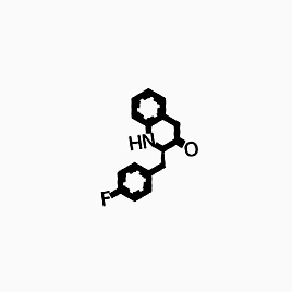 O=C1Cc2ccccc2N[C@@H]1Cc1ccc(F)cc1